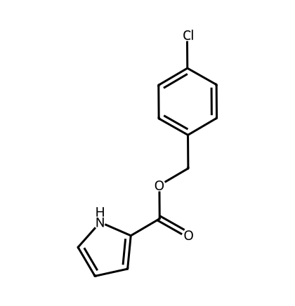 O=C(OCc1ccc(Cl)cc1)c1ccc[nH]1